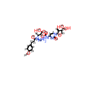 C=C1C(n2ccc(NC(=O)O[C@H](C(=O)O)[C@H](C)N(N)C(=O)CCc3ccc(OC)cc3)nc2=O)OC[C@H]1C(O)O